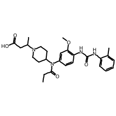 CCC(=O)N(c1ccc(NC(=O)Nc2ccccc2C)c(OC)c1)C1CCN(C(C)CC(=O)O)CC1